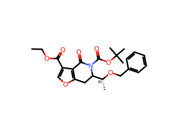 CCOC(=O)c1coc2c1C(=O)N(C(=O)OC(C)(C)C)C([C@@H](C)OCc1ccccc1)C2